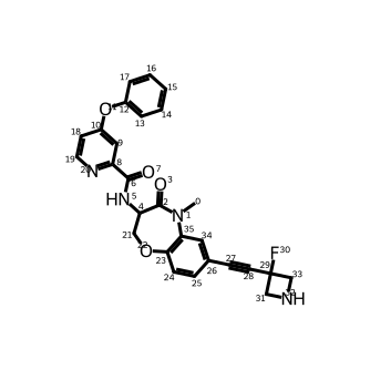 CN1C(=O)C(NC(=O)c2cc(Oc3ccccc3)ccn2)COc2ccc(C#CC3(F)CNC3)cc21